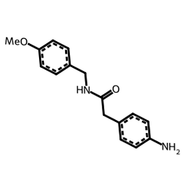 COc1ccc(CNC(=O)Cc2ccc(N)cc2)cc1